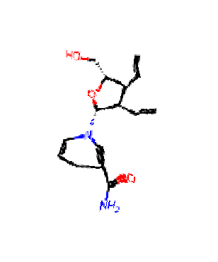 C=C[C@@H]1[C@H](C=C)[C@@H](CO)O[C@H]1N1C=CCC(C(N)=O)=C1